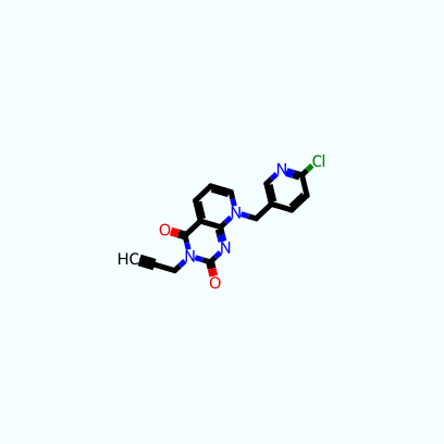 C#CCn1c(=O)nc2n(Cc3ccc(Cl)nc3)cccc-2c1=O